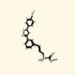 CNC(=O)N(O)CC=Cc1cccc(C2=NOC(c3ccc(F)cc3)C2)c1